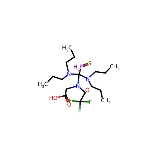 CCCN(CCC)C([PH2]=S)(N(CCC)CCC)N(CC(=O)O)C(=O)C(F)(F)F